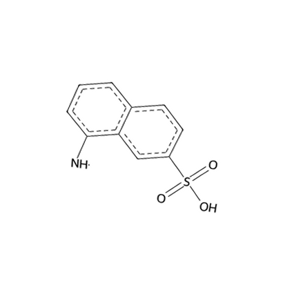 [NH]c1cccc2ccc(S(=O)(=O)O)cc12